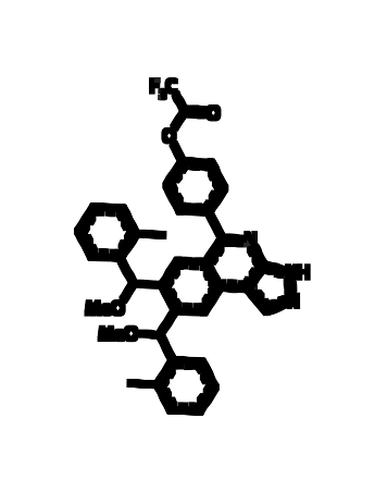 COC(c1ccccc1C)c1cc2c(-c3ccc(OC(=O)C(F)(F)F)cc3)nc3[nH]ncc3c2cc1C(OC)c1ccccc1C